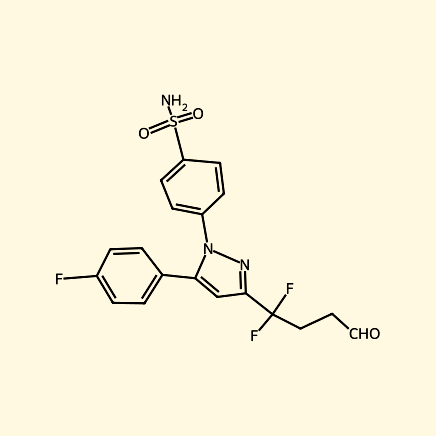 NS(=O)(=O)c1ccc(-n2nc(C(F)(F)CCC=O)cc2-c2ccc(F)cc2)cc1